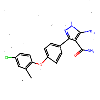 Cc1cc(Cl)ccc1Oc1ccc(-c2n[nH]c(N)c2C(N)=O)cc1